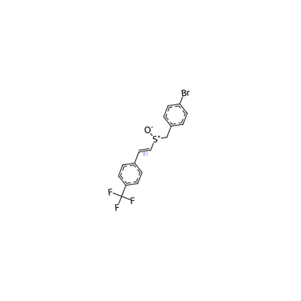 [O-][S+](/C=C/c1ccc(C(F)(F)F)cc1)Cc1ccc(Br)cc1